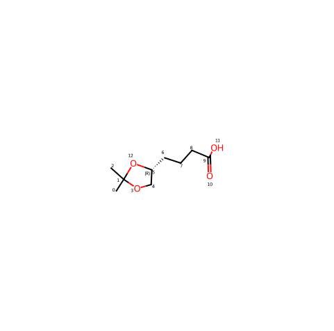 CC1(C)OC[C@@H](CCCC(=O)O)O1